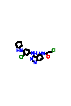 O=C(C=CCl)Nc1ccc2ncnc(Nc3ccc(Nc4ccccc4)c(Cl)c3)c2c1